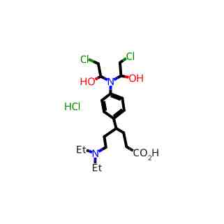 CCN(CC)CCC(CCC(=O)O)c1ccc(N(C(O)CCl)C(O)CCl)cc1.Cl